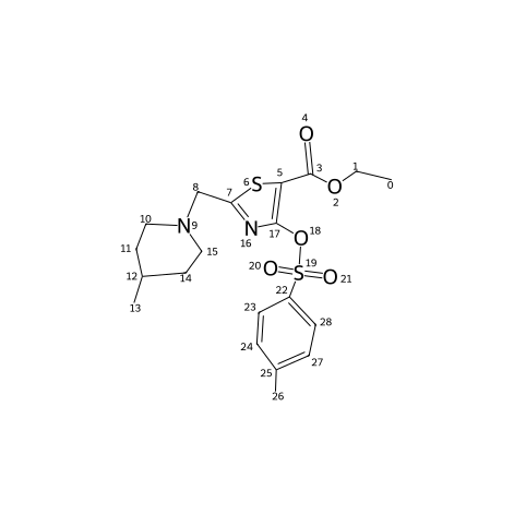 CCOC(=O)c1sc(CN2CCC(C)CC2)nc1OS(=O)(=O)c1ccc(C)cc1